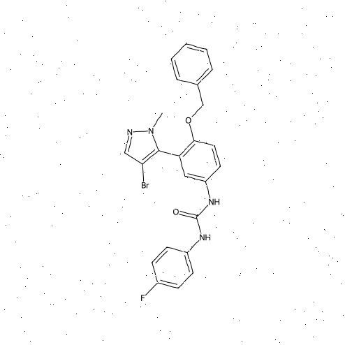 Cn1ncc(Br)c1-c1cc(NC(=O)Nc2ccc(F)cc2)ccc1OCc1ccccc1